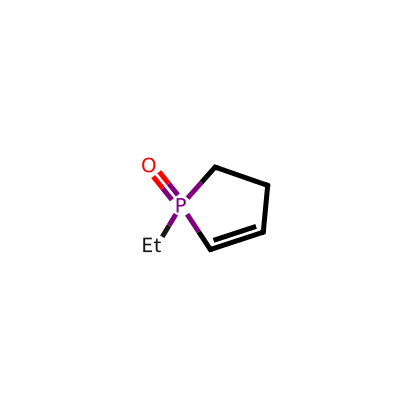 CCP1(=O)C=CCC1